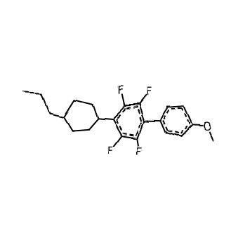 CCCC1CCC(c2c(F)c(F)c(-c3ccc(OC)cc3)c(F)c2F)CC1